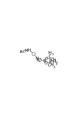 CC(=O)NC1CC(n2cc(B3OC(C)(C)C(C)(C)O3)cn2)C1